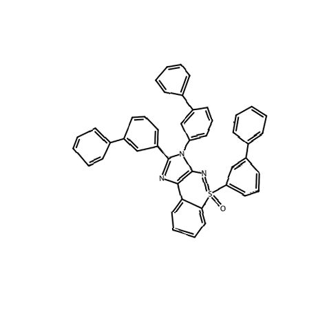 O=S1(c2cccc(-c3ccccc3)c2)=Nc2c(nc(-c3cccc(-c4ccccc4)c3)n2-c2cccc(-c3ccccc3)c2)-c2ccccc21